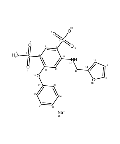 NS(=O)(=O)c1cc(S(=O)(=O)[O-])c(NCc2ccco2)cc1Oc1ccccc1.[Na+]